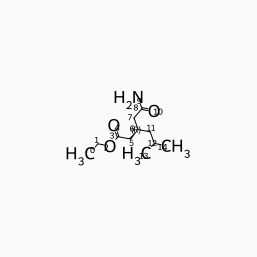 CCOC(=O)C[C@@H](CC(N)=O)CC(C)C